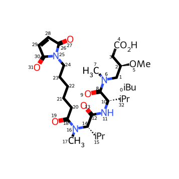 CC[C@H](C)C([C@@H](CC(=O)O)OC)N(C)C(=O)[C@@H](NC(=O)[C@H](C(C)C)N(C)C(=O)CCCCCN1C(=O)C=CC1=O)C(C)C